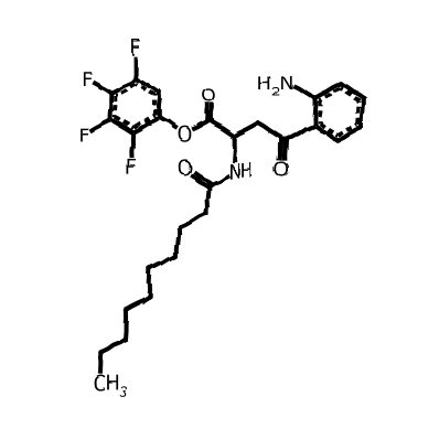 CCCCCCCCCC(=O)NC(CC(=O)c1ccccc1N)C(=O)Oc1cc(F)c(F)c(F)c1F